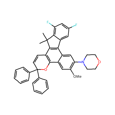 COc1cc2c3c(c4c(c2cc1N1CCOCC1)-c1cc(F)cc(F)c1C4(C)C)C=CC(c1ccccc1)(c1ccccc1)O3